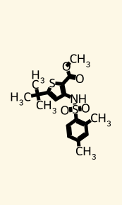 COC(=O)c1sc(C(C)(C)C)cc1NS(=O)(=O)c1ccc(C)cc1C